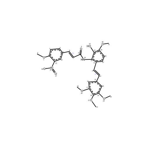 COc1ccc(/C=C/C(=O)Nc2c(/C=C/c3cc(OC)c(OC)c(OC)c3)ccc(OC)c2O)cc1[N+](=O)[O-]